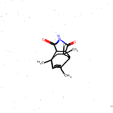 CC1=CC2(C)CC(C)(C)C1C1C(=O)NC(=O)C12